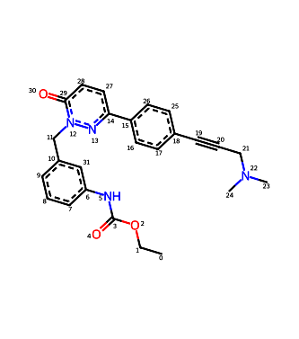 CCOC(=O)Nc1cccc(Cn2nc(-c3ccc(C#CCN(C)C)cc3)ccc2=O)c1